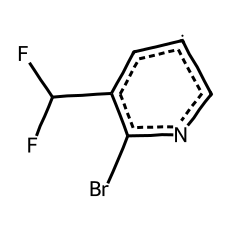 FC(F)c1c[c]cnc1Br